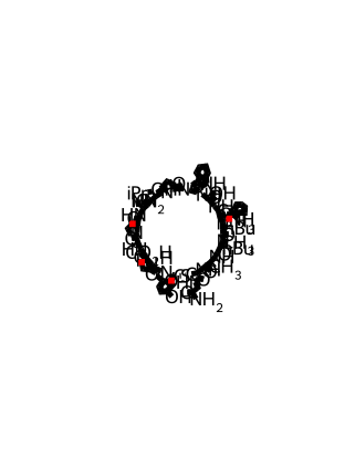 CCCC[C@H]1C(=O)N(C)[C@@H](CCCC)C(=O)N[C@@H](C)C(=O)N[C@H](C(=O)NCC(N)=O)CSCC(=O)N[C@@H](Cc2ccc(O)cc2)C(=O)N2CCC[C@H]2C(=O)N[C@@H](CC(=O)O)C(=O)N2CCC[C@H]2C(=O)N[C@@H](CN)C(=O)N[C@@H](CC(C)C)C(=O)N2CCC[C@H]2C(=O)N[C@@H](Cc2c[nH]c3ccccc23)C(=O)N[C@@H](CO)C(=O)N[C@@H](Cc2c[nH]c3ccccc23)C(=O)N1C